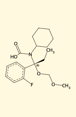 CC[C@@](OCOC)(c1ccccc1F)N(C(=O)O)C1CCCCC1